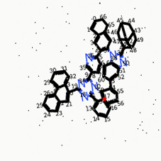 C1=Cc2cc(-c3ccc(-c4nc(-c5ccccc5)nc(-c5cc6ccccc6c6ccccc56)n4)cn3)c(-n3c(C4C5CC6CC(C5)CC4C6)nc4cc(-c5ccccc5)ccc43)cc2CC1